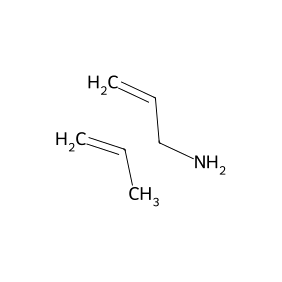 C=CC.C=CCN